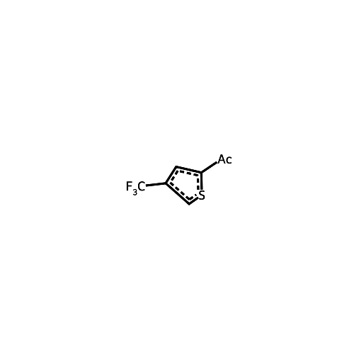 CC(=O)c1cc(C(F)(F)F)cs1